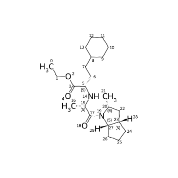 CCOC(=O)[C@H](CCC1CCCCC1)N[C@@H](C)C(=O)N1[C@H](C)C[C@@H]2CCC[C@@H]21